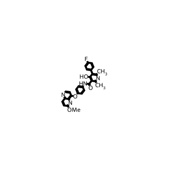 COc1ccc2nccc(Oc3ccc(NC(=O)c4c(C)nc(C)c(-c5ccc(F)cc5)c4O)cc3)c2n1